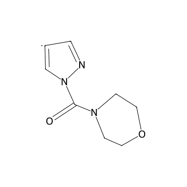 O=C(N1CCOCC1)n1c[c]cn1